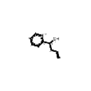 C=CCC(O)c1ccccn1